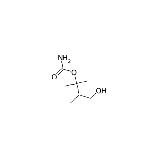 CC(CO)C(C)(C)OC(N)=O